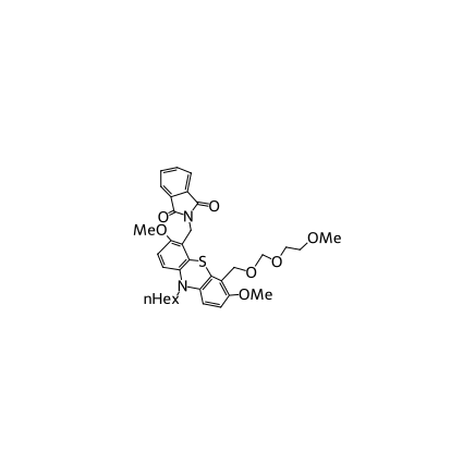 CCCCCCN1c2ccc(OC)c(COCOCCOC)c2Sc2c1ccc(OC)c2CN1C(=O)c2ccccc2C1=O